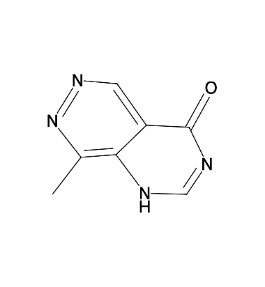 Cc1nncc2c(=O)nc[nH]c12